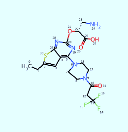 CCc1cc2c(N3CCN(C(=O)CC(F)(F)F)CC3)nc(O[C@H](CN)C(=O)O)nc2s1